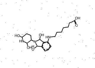 O=C(O)CCCCCCNc1cccc2c1C(O)N(C1CCC(O)NC1O)C2O